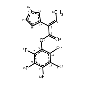 CC=C(C(=O)Oc1c(F)c(F)c(F)c(F)c1F)c1ccoc1